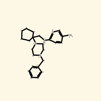 Cc1ccc(NCC2(N3CCN(Cc4ccccc4)CC3)CCCCC2)nc1